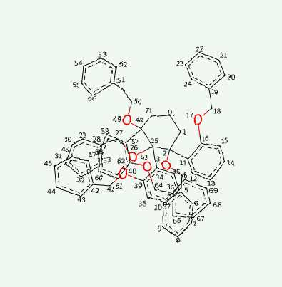 [CH]1CC(OCc2ccccc2)(c2ccccc2OCc2ccccc2)C(OCc2ccccc2)(c2ccccc2OCc2ccccc2)C(OCc2ccccc2)(c2ccccc2OCc2ccccc2)C1